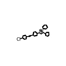 Clc1ccc(C#Cc2ccc(C3=NN(c4ccccc4)C(c4ccccc4)C3)cc2)cc1